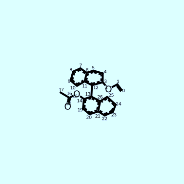 C=COc1ccc2ccccc2c1-c1c(OC(C)=O)ccc2ccccc12